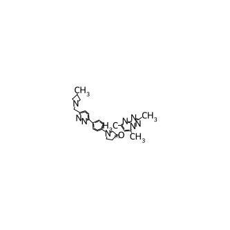 Cc1nc2nc(C)c(O[C@@H]3CCN(c4ccc(-c5ccc(CN6CC(C)C6)nn5)cc4)C3)c(C)n2n1